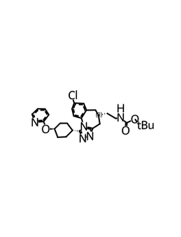 CC(C)(C)OC(=O)NCC[C@H]1Cc2cc(Cl)ccc2-n2c(nnc2[C@H]2CC[C@H](Oc3ccccn3)CC2)C1